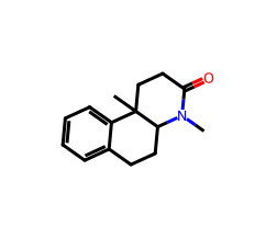 CN1C(=O)CCC2(C)c3ccccc3CCC12